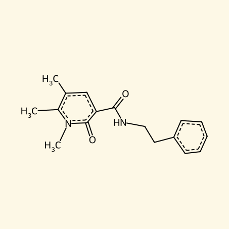 Cc1cc(C(=O)NCCc2ccccc2)c(=O)n(C)c1C